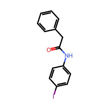 O=C(Cc1ccccc1)Nc1ccc(I)cc1